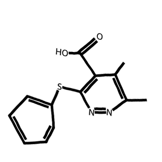 Cc1nnc(Sc2ccccc2)c(C(=O)O)c1C